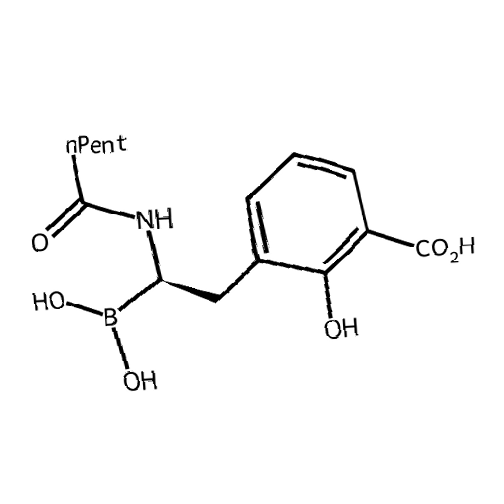 CCCCCC(=O)N[C@@H](Cc1cccc(C(=O)O)c1O)B(O)O